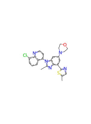 Cc1cnc(-c2cc(N3CCOCC3)cc3c2nc(C)n3-c2ccnc3c(Cl)cccc23)s1